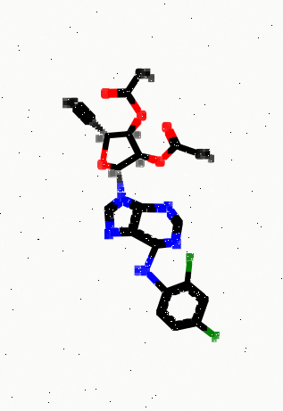 C#C[C@H]1O[C@@H](n2cnc3c(Nc4ccc(F)cc4F)ncnc32)[C@H](OC(C)=O)[C@@H]1OC(C)=O